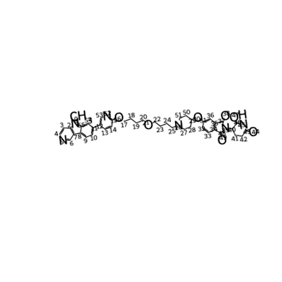 Cn1c2ccncc2c2ccc(-c3ccc(OCCCCOCCCCN4CCC(Oc5ccc6c(c5)C(=O)N(C5CCC(=O)NC5=O)C6=O)CC4)nc3)cc21